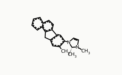 Cc1cc2c(cc1N1C=CN(C)[C@@H]1C)-c1ccc3ccccc3c1C2